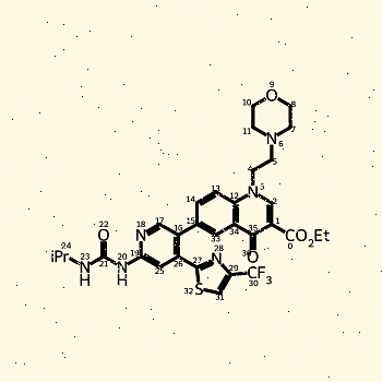 CCOC(=O)c1cn(CCN2CCOCC2)c2ccc(-c3cnc(NC(=O)NC(C)C)cc3-c3nc(C(F)(F)F)cs3)cc2c1=O